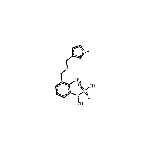 CN(c1cccc(CSCc2cc[nH]c2)c1C(F)(F)F)S(C)(=O)=O